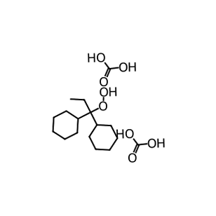 CCC(OO)(C1CCCCC1)C1CCCCC1.O=C(O)O.O=C(O)O